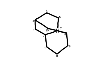 C1CC2CC3CCN2C(C1)C3